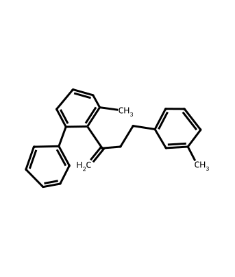 C=C(CCc1cccc(C)c1)c1c(C)cccc1-c1ccccc1